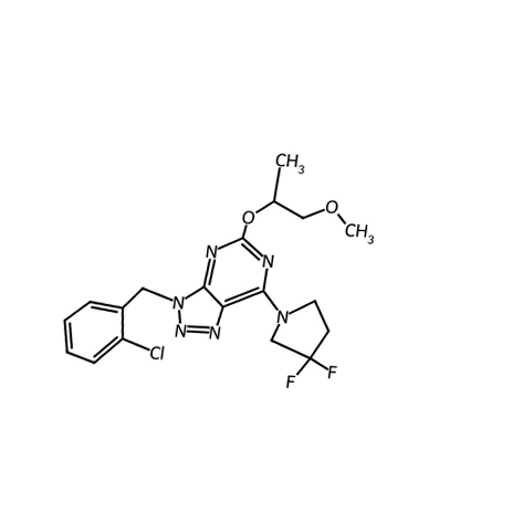 COCC(C)Oc1nc(N2CCC(F)(F)C2)c2nnn(Cc3ccccc3Cl)c2n1